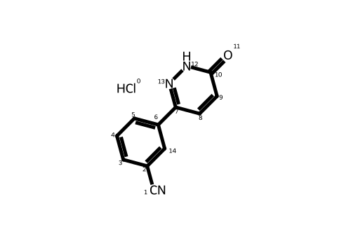 Cl.N#Cc1cccc(-c2ccc(=O)[nH]n2)c1